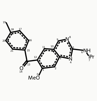 COc1cc2nc(NC(C)C)ncc2cc1C(=O)c1ccc(C)cc1